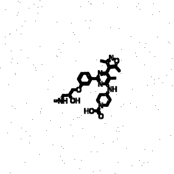 CNCC(O)COc1cccc(-c2nc(NC3CCN(C(=O)O)CC3)c(C)c(-c3c(C)noc3C)n2)c1